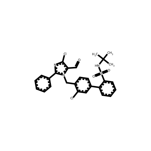 CC(C)(C)NS(=O)(=O)c1ccccc1-c1ccc(Cn2c(-c3ccccc3)nc(Cl)c2C=O)c(Cl)c1